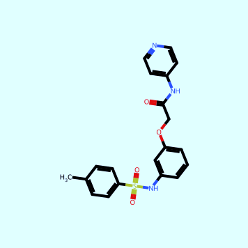 Cc1ccc(S(=O)(=O)Nc2cccc(OCC(=O)Nc3ccncc3)c2)cc1